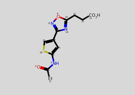 CCC(=O)Nc1cc(-c2noc(CCC(=O)O)n2)cs1